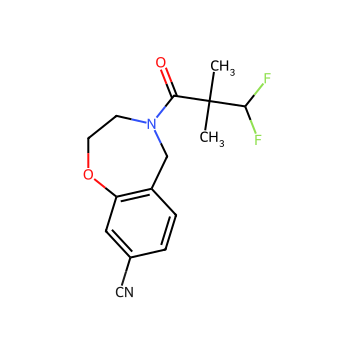 CC(C)(C(=O)N1CCOc2cc(C#N)ccc2C1)C(F)F